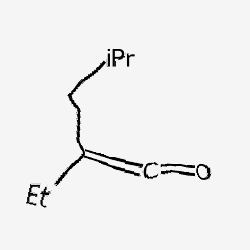 CCC(=C=O)CC(C)C